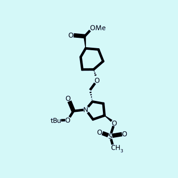 COC(=O)[C@H]1CC[C@H](OC[C@@H]2C[C@@H](OS(C)(=O)=O)CN2C(=O)OC(C)(C)C)CC1